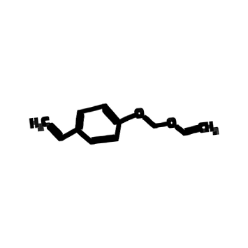 C=COCOc1ccc(C=C)cc1